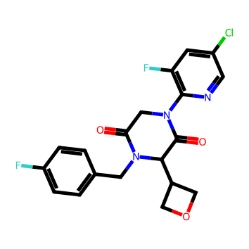 O=C1C(C2COC2)N(Cc2ccc(F)cc2)C(=O)CN1c1ncc(Cl)cc1F